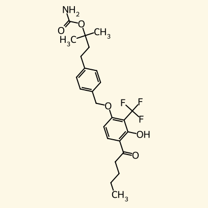 CCCCC(=O)c1ccc(OCc2ccc(CCC(C)(C)OC(N)=O)cc2)c(C(F)(F)F)c1O